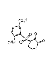 COc1ccc(C(=O)O)cc1S(=O)(=O)N1CCSC(=O)C1=O